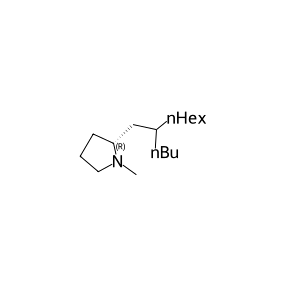 CCCCCCC(CCCC)C[C@H]1CCCN1C